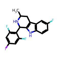 CC1Cc2c([nH]c3ccc(F)cc23)C(c2c(F)cc(I)cc2F)N1